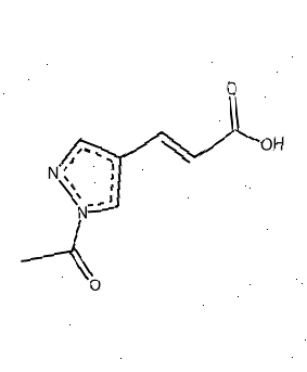 CC(=O)n1cc(/C=C/C(=O)O)cn1